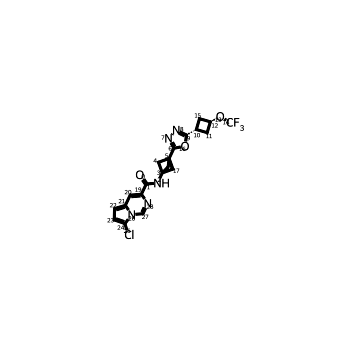 O=C(NC12CC(c3nnc([C@H]4C[C@@H](OC(F)(F)F)C4)o3)(C1)C2)c1cc2ccc(Cl)n2cn1